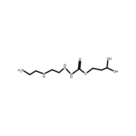 NCCNCCNNC(=O)OCCC(O)O